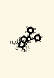 C[C@H]1C(=O)C(C#N)=C[C@@]2(C)c3nn(-c4ccccc4)c(-c4ccccc4)c3CC[C@H]12